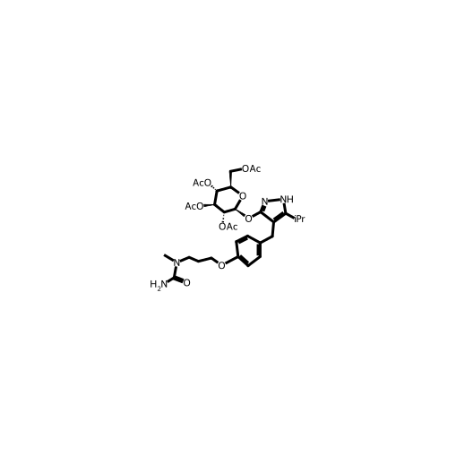 CC(=O)OC[C@H]1O[C@@H](Oc2n[nH]c(C(C)C)c2Cc2ccc(OCCCN(C)C(N)=O)cc2)[C@H](OC(C)=O)[C@@H](OC(C)=O)[C@@H]1OC(C)=O